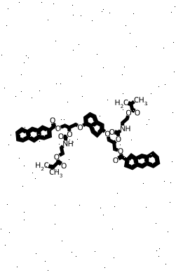 C=C(C)C(=O)OCCNC(=O)OC(COC(=O)c1ccc2cc3ccccc3cc2c1)COc1ccc2c(OCC(COC(=O)c3ccc4cc5ccccc5cc4c3)OC(=O)NCCOC(=O)C(=C)C)cccc2c1